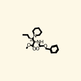 CCC[C@H]([C@H](NC(=O)OCc1ccccc1)C(=O)OC)N1CCCCC1